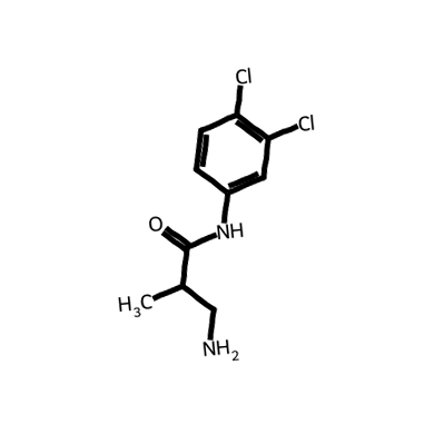 CC(CN)C(=O)Nc1ccc(Cl)c(Cl)c1